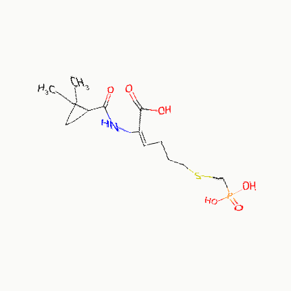 CC1(C)CC1C(=O)NC(=CCCCSCP(=O)(O)O)C(=O)O